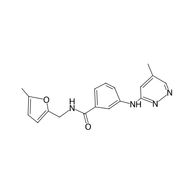 Cc1cnnc(Nc2cccc(C(=O)NCc3ccc(C)o3)c2)c1